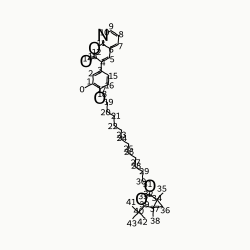 Cc1cc(-c2cc3cccnc3oc2=O)ccc1OCCCCCCCCCCCCOC(=O)C1(C)CC1(C)CC(C)(C)C